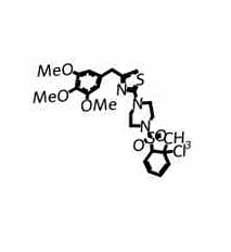 COc1cc(Cc2csc(N3CCN(S(=O)(=O)C4C=CC=CC4(C)Cl)CC3)n2)cc(OC)c1OC